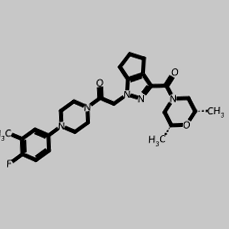 Cc1cc(N2CCN(C(=O)Cn3nc(C(=O)N4C[C@@H](C)O[C@@H](C)C4)c4c3CCC4)CC2)ccc1F